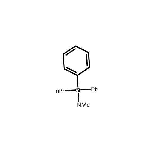 CCC[Si](CC)(NC)c1ccccc1